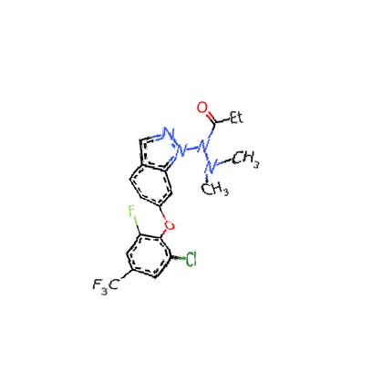 CCC(=O)N(N(C)C)n1ncc2ccc(Oc3c(F)cc(C(F)(F)F)cc3Cl)cc21